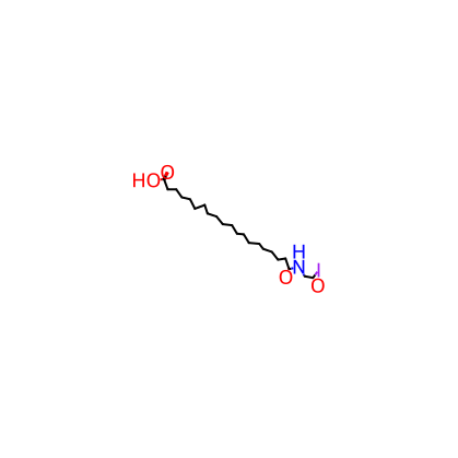 O=C(O)CCCCCCCCCCCCCCCCCCC(=O)NCC(=O)I